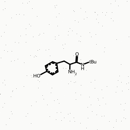 CC(C)(C)NC(=O)C(N)Cc1ccc(O)cc1